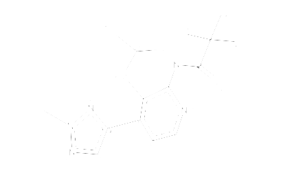 Cn1ncc(-c2ccnc(NC(=O)C(C)(C)C)c2OC(F)F)n1